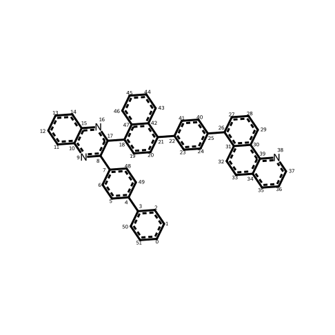 c1ccc(-c2ccc(-c3nc4ccccc4nc3-c3ccc(-c4ccc(-c5cccc6c5ccc5cccnc56)cc4)c4ccccc34)cc2)cc1